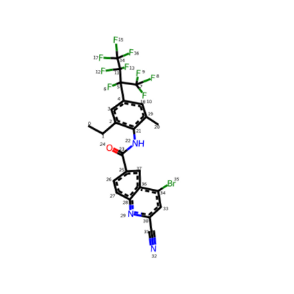 CCc1cc(C(F)(C(F)(F)F)C(F)(F)C(F)(F)F)cc(C)c1NC(=O)c1ccc2nc(C#N)cc(Br)c2c1